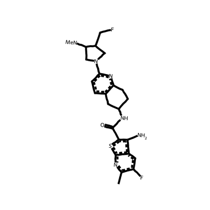 CNC1CN(c2ccc3c(n2)CCC(NC(=O)c2sc4nc(C)c(F)cc4c2N)C3)CC1CF